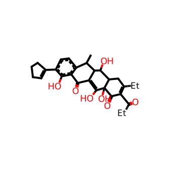 CCC(=O)C1=C(CC)CC2C(O)C3C(=C(O)C2(O)C1=O)C(=O)c1c(ccc(C2=CCCC2)c1O)C3C